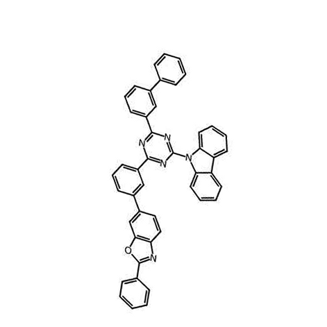 c1ccc(-c2cccc(-c3nc(-c4cccc(-c5ccc6nc(-c7ccccc7)oc6c5)c4)nc(-n4c5ccccc5c5ccccc54)n3)c2)cc1